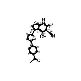 CC(=O)c1ccc(-c2ccc(-c3csc4[nH]c(=O)c(C#N)c(O)c34)s2)cc1